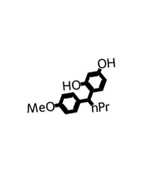 CCCC(c1ccc(OC)cc1)c1ccc(O)cc1O